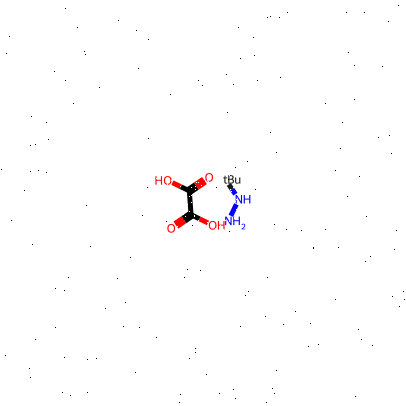 CC(C)(C)NN.O=C(O)C(=O)O